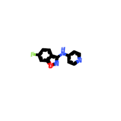 Fc1ccc2c(Nc3ccncc3)noc2c1